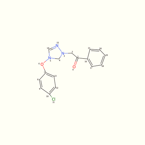 O=C(CN1CN(Oc2ccc(Cl)cc2)C=N1)c1ccccc1